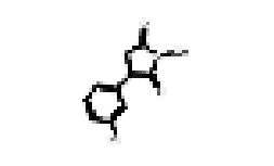 O=C1CC(c2cccc([125I])c2)C(=O)N1O